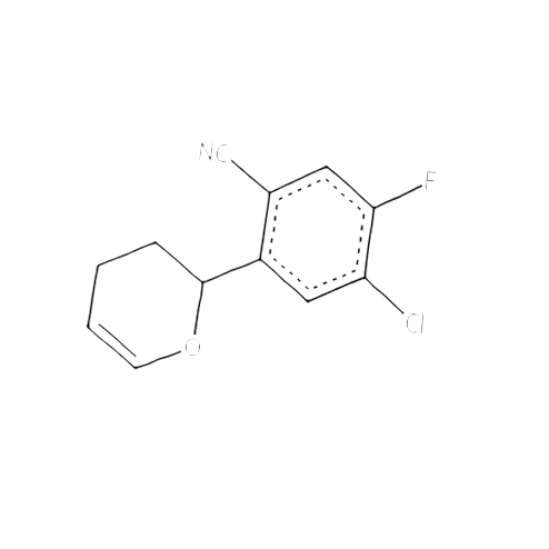 N#Cc1cc(F)c(Cl)cc1C1CCC=CO1